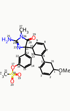 COC1C=CC=C(C2=CC=CC(C3(c4cccc(OS(=O)(=O)C(F)(F)F)c4)N=C(N)N(C)C3=O)C2)C1